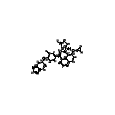 Cc1cc(Nc2ncnc3ccc(OC4CC4)c(N4CC5[C@@H]4CCN5C)c23)ccc1Oc1cc2ncnn2cn1